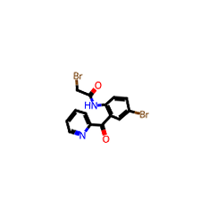 O=C(CBr)Nc1ccc(Br)cc1C(=O)c1ccccn1